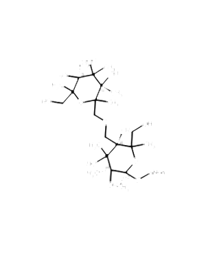 CCCCCCCCCS[C@]1(C)OC(C)(CO)[C@@](C)(COCC2(C)OC(C)(CO)[C@@](C)(O)C(C)(O)[C@]2(C)O)C(C)(O)[C@]1(C)O